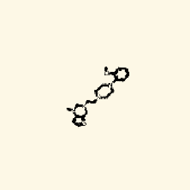 COc1ccccc1N1CCN(CCN2Cc3sccc3N(C)C2)CC1